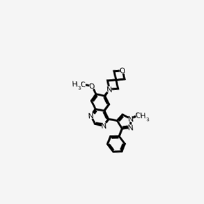 COc1cc2ncnc(-c3cn(C)nc3-c3ccccc3)c2cc1N1CC2(COC2)C1